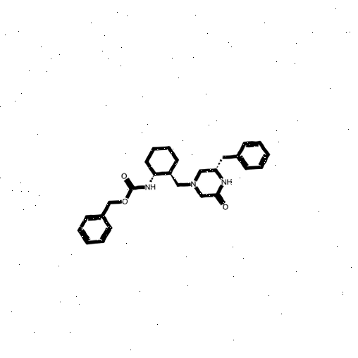 O=C1CN(C[C@@H]2CCCC[C@H]2NC(=O)OCc2ccccc2)C[C@H](Cc2ccccc2)N1